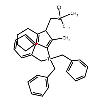 CC[Si](C)(C)CC1C(C)=[C]([Ti]([CH2]c2ccccc2)([CH2]c2ccccc2)[CH2]c2ccccc2)C2=C1CCCC2